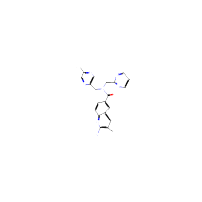 CC[C@H](c1ncccn1)N(Cc1cnc(C(F)(F)F)cn1)C(=O)c1ccc2nc(N)c(C)cc2c1